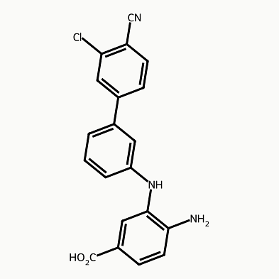 N#Cc1ccc(-c2cccc(Nc3cc(C(=O)O)ccc3N)c2)cc1Cl